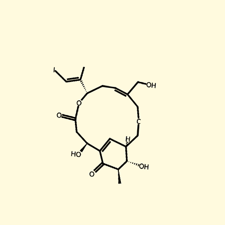 C/C(=C\I)[C@@H]1C/C=C(/CO)CCC[C@@H]2C=C(C(=O)[C@H](C)[C@H]2O)[C@@H](O)CC(=O)O1